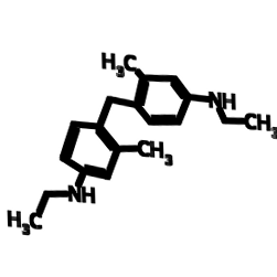 CCNc1ccc(Cc2ccc(NCC)cc2C)c(C)c1